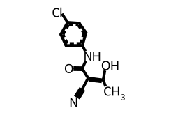 CC(O)=C(C#N)C(=O)Nc1ccc(Cl)cc1